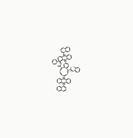 C=C(/C=C\c1ccccc1)c1cccc(N2c3ccccc3N(c3cccc4ccccc34)c3ccccc32)ccc(/C(C)=C/c2ccccc2C)c2ccc(N3c4ccccc4N(c4cccc5ccccc45)c4ccccc43)cc12